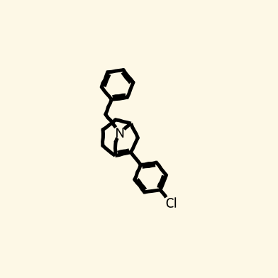 Clc1ccc(C2=C3CCCC(C2)N(Cc2ccccc2)C3)cc1